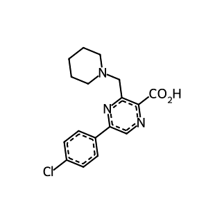 O=C(O)c1ncc(-c2ccc(Cl)cc2)nc1CN1CCCCC1